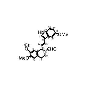 CCOc1cc2c(cc1OC)CCN(C=O)[C@H]2/C=C/c1c[nH]c2ccc(OC)cc12